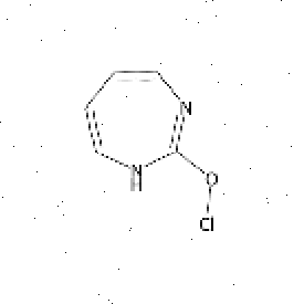 ClOC1=NC=CC=CN1